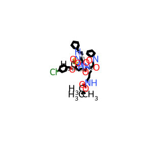 CC(C)(C)OC(=O)NCCCC[C@H](NC(=O)[C@@H]1C[C@@H](OCc2ccc(Cl)cc2)CN1C(=O)[C@@H](C/C=C/c1ccccc1)NS(C)(=O)=O)C(=O)c1nc2ccccc2o1